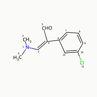 CN(C)C=C(C=O)c1cccc(Cl)c1